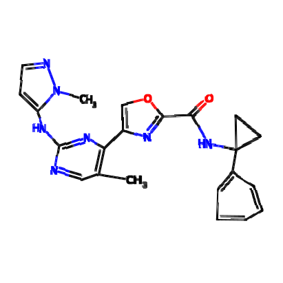 Cc1cnc(Nc2ccnn2C)nc1-c1coc(C(=O)NC2(c3ccccc3)CC2)n1